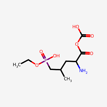 CCOP(=O)(O)CC(C)CC(N)C(=O)OC(=O)O